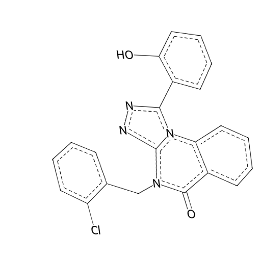 O=c1c2ccccc2n2c(-c3ccccc3O)nnc2n1Cc1ccccc1Cl